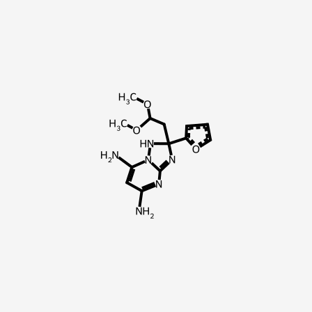 COC(CC1(c2ccco2)N=C2N=C(N)C=C(N)N2N1)OC